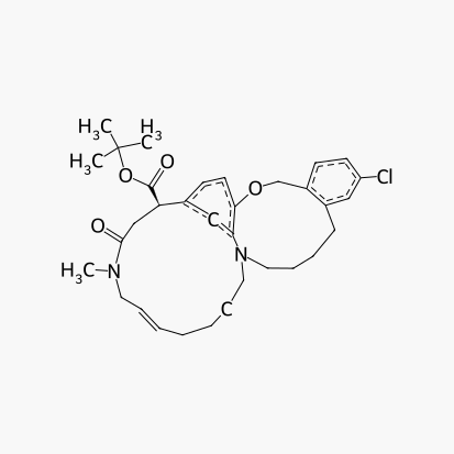 CN1C/C=C/CCCCN2CCCCc3cc(Cl)ccc3COc3ccc(cc32)[C@H](C(=O)OC(C)(C)C)CC1=O